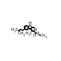 C=C(C)/C=C/c1ccc2[nH]c3cnc(C(=O)OCC)c(C)c3c2c1